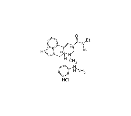 CCN(CC)C(=O)[C@@H]1C=C2c3cccc4[nH]cc(c34)C[C@H]2N(C)C1.Cl.NNc1ccccc1